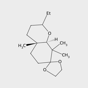 CCC1CC[C@@]2(C)CCC3(OCCO3)C(C)(C)[C@@H]2O1